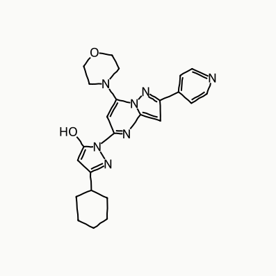 Oc1cc(C2CCCCC2)nn1-c1cc(N2CCOCC2)n2nc(-c3ccncc3)cc2n1